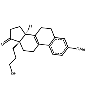 COc1ccc2c(c1)CCC1=C2CC[C@]2(CCCO)C(=O)CC[C@@H]12